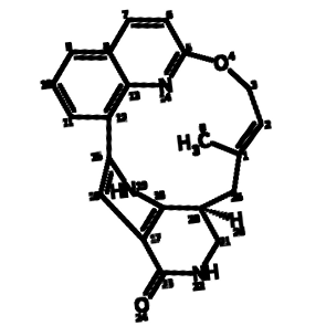 C/C1=C\COc2ccc3cccc(c3n2)-c2cc3c([nH]2)[C@H](CNC3=O)C1